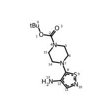 CC(C)(C)OC(=O)N1CCN(c2sncc2N)CC1